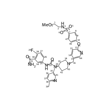 COCCNS(=O)(=O)c1ccc(Oc2ccc(CN3CCC(N(C(=O)Nc4ccc(F)c(C(N)=O)c4)c4ccc(C)nc4)CC3)cn2)cc1